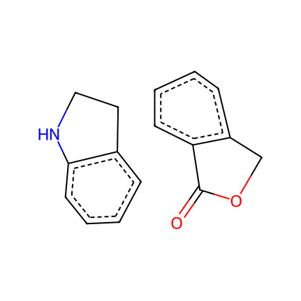 O=C1OCc2ccccc21.c1ccc2c(c1)CCN2